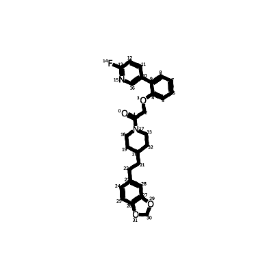 O=C(COc1ccccc1-c1ccc(F)nc1)N1CCC(CCc2ccc3c(c2)OCO3)CC1